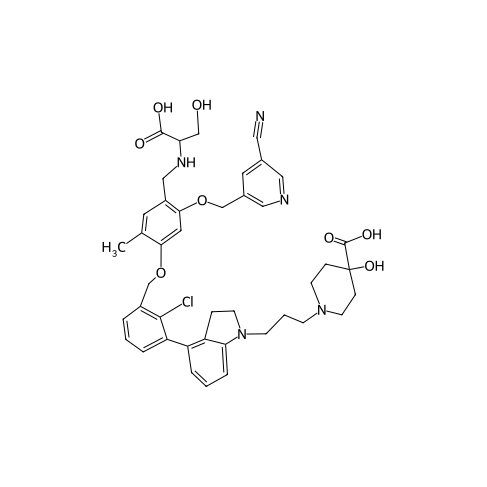 Cc1cc(CNC(CO)C(=O)O)c(OCc2cncc(C#N)c2)cc1OCc1cccc(-c2cccc3c2CCN3CCCN2CCC(O)(C(=O)O)CC2)c1Cl